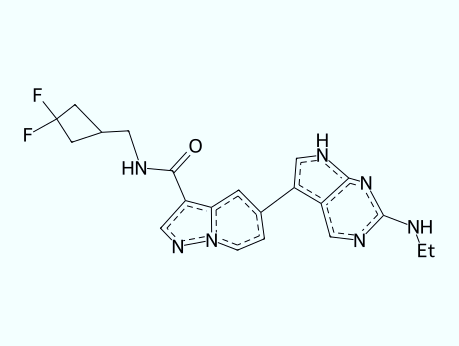 CCNc1ncc2c(-c3ccn4ncc(C(=O)NCC5CC(F)(F)C5)c4c3)c[nH]c2n1